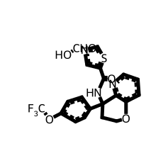 O=C(NC1(c2ccc(OC(F)(F)F)cc2)CCOc2cccnc21)c1cncs1.O=CO